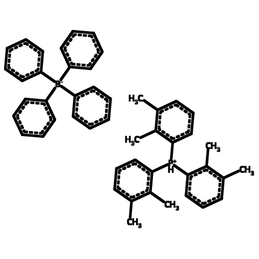 Cc1cccc([PH+](c2cccc(C)c2C)c2cccc(C)c2C)c1C.c1ccc([B-](c2ccccc2)(c2ccccc2)c2ccccc2)cc1